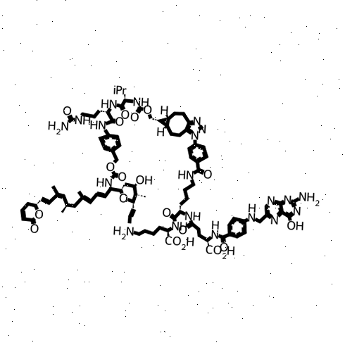 C/C=C/[C@@H]1O[C@H]([C@@H](/C=C/C=C(\C)C[C@@H](C)/C=C(C)\C=C\[C@H]2CC=CC(=O)O2)NC(=O)OCc2ccc(NC(=O)[C@H](CCCNC(N)=O)NC(=O)[C@@H](NC(=O)OC[C@@H]3[C@@H]4CCc5nnn(-c6ccc(C(=O)NCCCC[C@H](NC(=O)CC[C@H](NC(=O)c7ccc(NCc8cnc9nc(N)nc(O)c9n8)cc7)C(=O)O)C(=O)N[C@H](CCCCN)C(=O)O)cc6)c5CC[C@@H]43)C(C)C)cc2)C[C@@H](O)[C@@H]1C